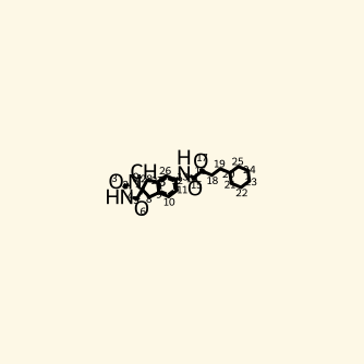 CN1C(=O)NC(=O)C12Cc1ccc(NC(=O)C(=O)CCC3CCCCC3)cc1C2